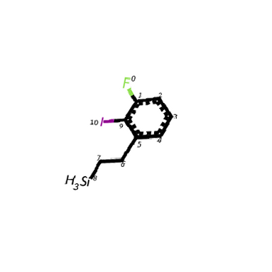 Fc1cccc(CC[SiH3])c1I